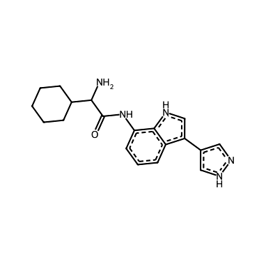 NC(C(=O)Nc1cccc2c(-c3cn[nH]c3)c[nH]c12)C1CCCCC1